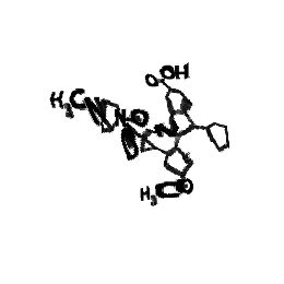 COc1ccc2c(c1)C1CC1(S(=O)(=O)N1CC3CC1CN3C)Cn1c-2c(C2CCCCC2)c2ccc(C(=O)O)cc21